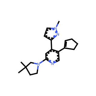 Cn1ccc(-c2cc(N3CCC(C)(C)C3)ncc2C2=CCCC2)n1